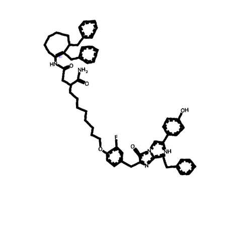 NC(=O)C(CCCCCCCCOc1ccc(Cc2nc3c(Cc4ccccc4)[nH]c(-c4ccc(O)cc4)cn-3c2=O)cc1F)CC(=O)N/C1=C(\Cc2ccccc2)C(Cc2ccccc2)CCCCC1